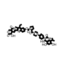 CCc1c2c(nc3ccc(OC(=O)N4CCCC4C(=O)N4CCN(c5ccc(N(C(=N)c6cc(C(C)C)c(O)cc6O)C(N)=O)cc5)CC4)cc13)-c1cc3c(c(=O)n1C2)COC(=O)C3O